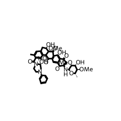 CO[C@@H]1[C@@H](O)[C@@H](OC)[C@@H](NC2=CC(=O)c3c(cc4c(c3O)C(=O)[C@]3(OC)[C@H](O)Cc5cc(C)c(C(=O)N6CCN(c7ccccc7)CC6)c(O)c5[C@]3(O)C4=O)C2=O)O[C@H]1C